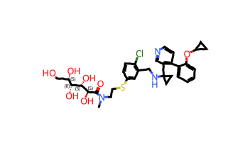 CN(CCSc1ccc(Cl)c(CNC2(c3cnccc3-c3ccccc3OC3CC3)CC2)c1)C(=O)[C@@H](O)[C@@H](O)[C@H](O)[C@@H](O)CO